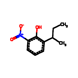 CCC(C)c1cccc([N+](=O)[O-])c1O